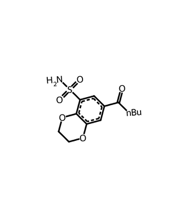 [CH2]CCCC(=O)c1cc2c(c(S(N)(=O)=O)c1)OCCO2